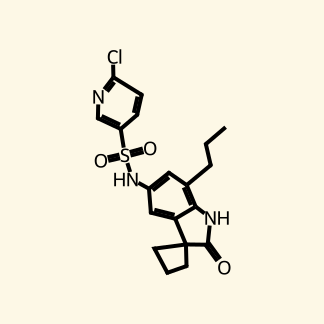 CCCc1cc(NS(=O)(=O)c2ccc(Cl)nc2)cc2c1NC(=O)C21CCC1